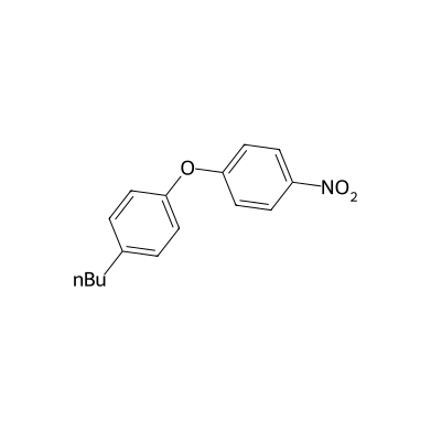 CCCCc1ccc(Oc2ccc([N+](=O)[O-])cc2)cc1